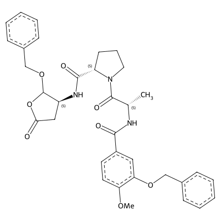 COc1ccc(C(=O)N[C@@H](C)C(=O)N2CCC[C@H]2C(=O)N[C@H]2CC(=O)OC2OCc2ccccc2)cc1OCc1ccccc1